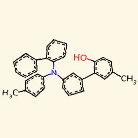 Cc1ccc(N(c2cccc(-c3cc(C)ccc3O)c2)c2ccccc2-c2ccccc2)cc1